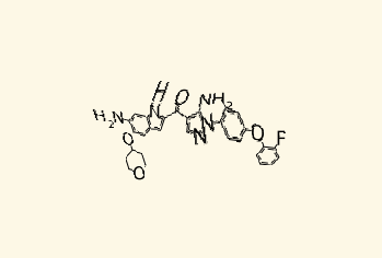 Cc1cc(Oc2ccccc2F)ccc1-n1ncc(C(=O)c2cc3cc(OC4CCOCC4)c(N)cc3[nH]2)c1N